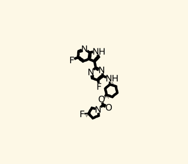 O=C(O[C@@H]1CCC[C@H](Nc2nc(-c3c[nH]c4ncc(F)cc34)ncc2F)C1)N1CC[C@@H](F)C1